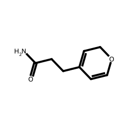 NC(=O)CCC1=CCOC=C1